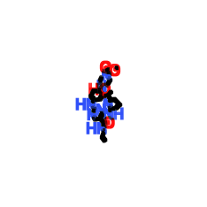 C=CCNC(=O)c1cnc(Nc2ccc(N3CCN(C(=O)OC)CC3)cc2)nc1Nc1cccc(C(C)(C)O)n1